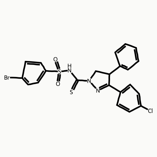 O=S(=O)(NC(=S)N1CC(c2ccccc2)C(c2ccc(Cl)cc2)=N1)c1ccc(Br)cc1